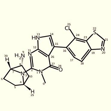 Cn1c(N2[C@H]3CC[C@@H]2[C@H](N)C3)nc2[nH]cc(-c3ccc4ncsc4c3Cl)c2c1=O